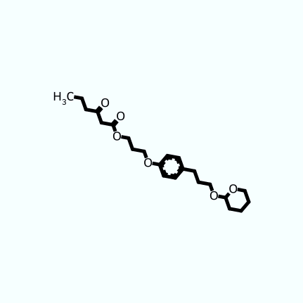 CCCC(=O)CC(=O)OCCCOc1ccc(CCCOC2CCCCO2)cc1